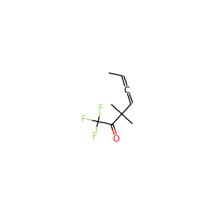 CC=C=CC(C)(C)C(=O)C(F)(F)F